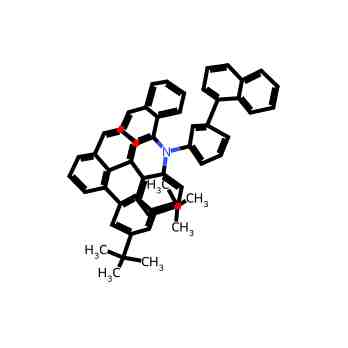 CC(C)(C)c1cc(-c2cccc3cccc(-c4ccccc4N(c4cccc(-c5cccc6ccccc56)c4)c4cccc5ccccc45)c23)cc(C(C)(C)C)c1